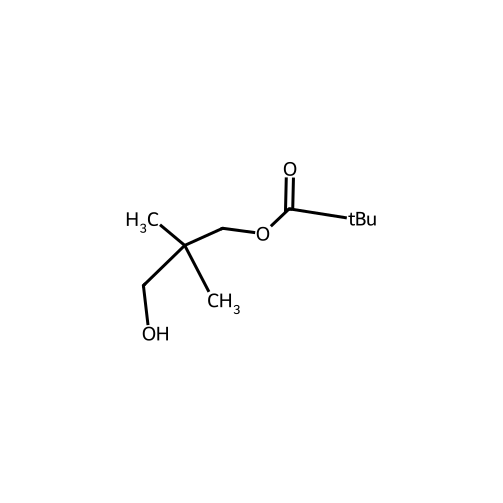 CC(C)(CO)COC(=O)C(C)(C)C